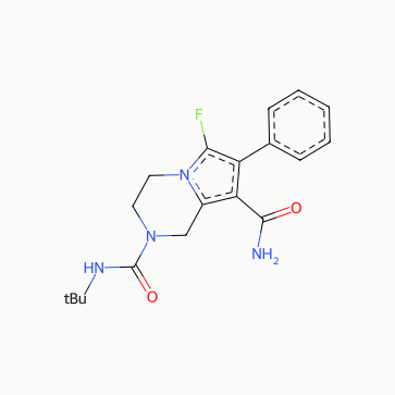 CC(C)(C)NC(=O)N1CCn2c(F)c(-c3ccccc3)c(C(N)=O)c2C1